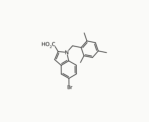 Cc1cc(C)c(Cn2c(C(=O)O)cc3cc(Br)ccc32)c(C)c1